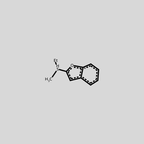 CC[SH](C)c1cc2ccccc2o1